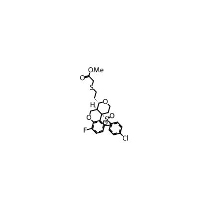 COC(=O)CSCC[C@@H]1OCC[C@@]2(S(=O)(=O)c3ccc(Cl)cc3)c3c(F)ccc(F)c3OC[C@@H]12